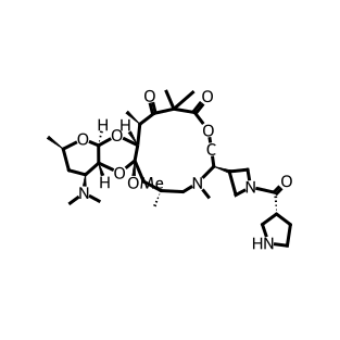 CO[C@]12C[C@@H](C)CN(C)[C@H](C3CN(C(=O)[C@@H]4CCNC4)C3)COC(=O)C(C)(C)C(=O)[C@H](C)[C@H]1O[C@@H]1O[C@H](C)C[C@H](N(C)C)[C@H]1O2